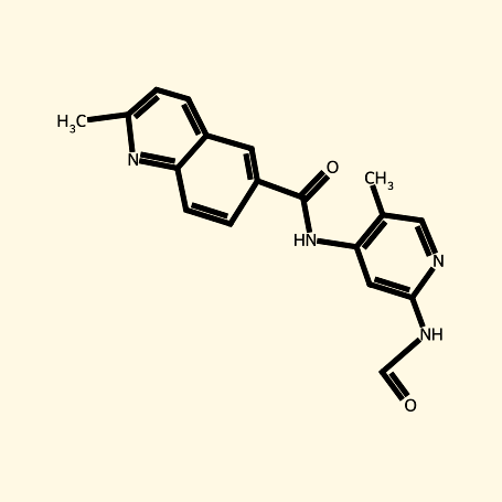 Cc1ccc2cc(C(=O)Nc3cc(NC=O)ncc3C)ccc2n1